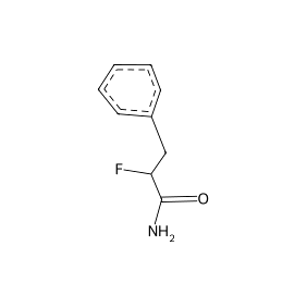 NC(=O)C(F)Cc1ccccc1